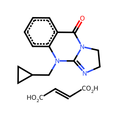 O=C(O)C=CC(=O)O.O=C1c2ccccc2N(CC2CC2)C2=NCCN12